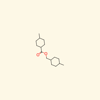 CC1CCC(COC(=O)C2CCC(C)CC2)CC1